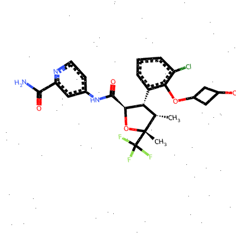 C[C@H]1[C@@H](c2cccc(Cl)c2OC2CC(O)C2)[C@H](C(=O)Nc2ccnc(C(N)=O)c2)O[C@@]1(C)C(F)(F)F